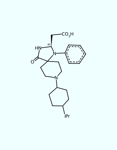 CC(C)C1CCC(N2CCC3(CC2)C(=O)N[C@@H](CC(=O)O)N3c2ccccc2)CC1